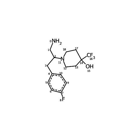 NCC(Cc1ccc(F)cc1)N1CCC(O)(C(F)(F)F)CC1